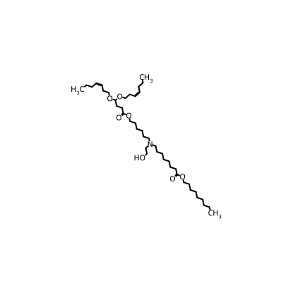 CCC/C=C\CCOC(CCC(=O)OCCCCCCN(CCO)CCCCCCCC(=O)OCCCCCCCCC)OCC/C=C\CCC